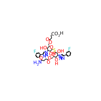 NC(=O)CCC(=O)OC[C@H]1O[C@@H](S[C@@H]2O[C@H](COC(=O)CCC(=O)O)[C@H](O)[C@H](n3cc(-c4cccc(F)c4)nn3)[C@H]2O)[C@H](O)[C@@H](n2cc(-c3cccc(F)c3)nn2)[C@H]1O